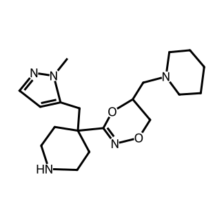 Cn1nccc1CC1(C2=NOCC(CN3CCCCC3)O2)CCNCC1